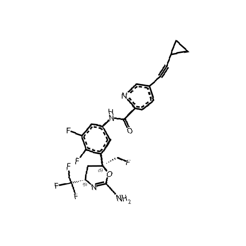 NC1=N[C@H](C(F)(F)F)C[C@@](CF)(c2cc(NC(=O)c3ccc(C#CC4CC4)cn3)cc(F)c2F)O1